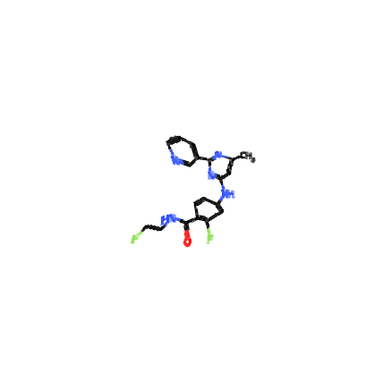 Cc1cc(Nc2ccc(C(=O)NCCF)c(F)c2)nc(-c2cccnc2)n1